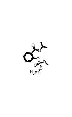 COP(=O)(Oc1ccccc1C(=O)OC(C)C)S[AsH2]